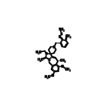 C=C1C=CC=C(CN2CCC3(CC2)C2=C[C@H](C)c4c(cc(OC)cc4OC)CN2C(=C)N3CC)/C1=N/SN